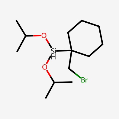 CC(C)O[SiH](OC(C)C)C1(CBr)CCCCC1